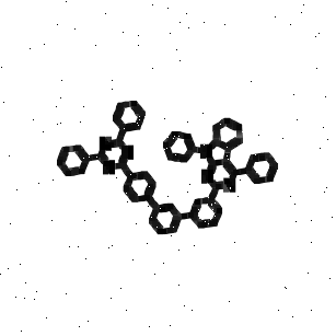 c1ccc(-c2nc(-c3ccccc3)nc(-c3ccc(-c4cccc(-c5cccc(-c6nc(-c7ccccc7)c7c8ccccc8n(-c8ccccc8)c7n6)c5)c4)cc3)n2)cc1